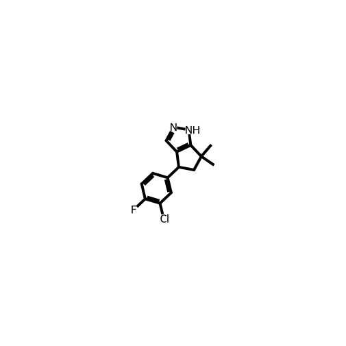 CC1(C)CC(c2ccc(F)c(Cl)c2)c2cn[nH]c21